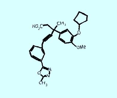 COc1ccc(C(C)(C#Cc2cccc(-c3nnc(C)o3)c2)CC(=O)O)cc1OC1CCCC1